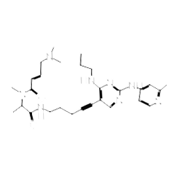 CCCNc1nc(Nc2ccnc(C)c2)ncc1C#CCCCNC(=O)C(C)N(C)C(=O)C=CCN(C)C